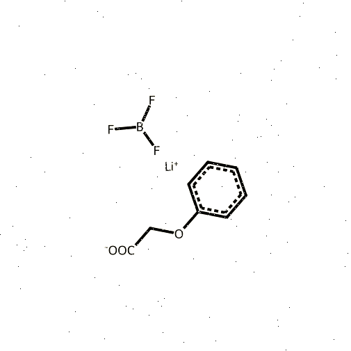 FB(F)F.O=C([O-])COc1ccccc1.[Li+]